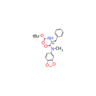 CN(C(=O)[C@H](Cc1ccccc1)NC(=O)OC(C)(C)C)c1ccc2c(c1)OCO2